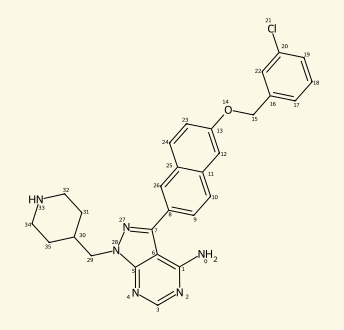 Nc1ncnc2c1c(-c1ccc3cc(OCc4cccc(Cl)c4)ccc3c1)nn2CC1CCNCC1